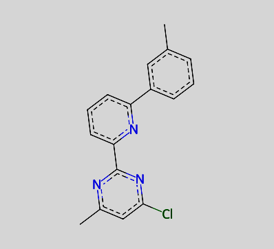 Cc1cccc(-c2cccc(-c3nc(C)cc(Cl)n3)n2)c1